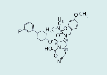 COc1ccc(CN([C@H]2C[C@@H](CC#N)N(C(=O)O)[C@H]2COC2CCC(c3cccc(F)c3)CC2)S(=O)(=O)N(C)C)cc1